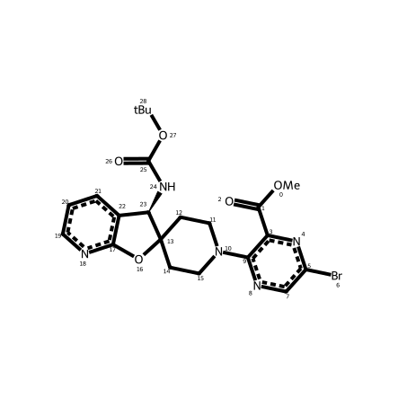 COC(=O)c1nc(Br)cnc1N1CCC2(CC1)Oc1ncccc1[C@H]2NC(=O)OC(C)(C)C